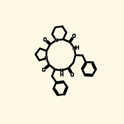 O=C1CC(Cc2ccccc2)NC(=O)C2CCCCN2C(=O)C2CCCN2C(=O)C(Cc2ccccc2)N1